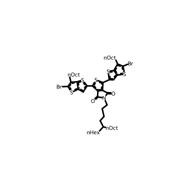 CCCCCCCCc1c(Br)sc2cc(-c3sc(-c4cc5sc(Br)c(CCCCCCCC)c5s4)c4c3C(=O)N(CCCCC(CCCCCC)CCCCCCCC)C4=O)sc12